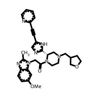 COc1ccc2nc(C)n(CC(=O)N3CCN(CC4CCOC4)C[C@H]3c3ncc(C#Cc4ccccn4)[nH]3)c2c1